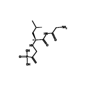 C=C(CN[C@@H](CC(C)C)C(=O)NC(=O)CN)P(=O)(O)O